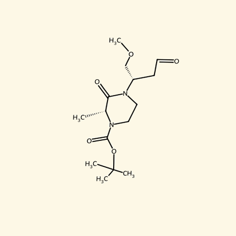 COC[C@H](CC=O)N1CCN(C(=O)OC(C)(C)C)[C@H](C)C1=O